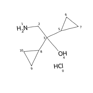 Cl.NCC(O)(C1CC1)C1CC1